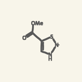 COC(=O)C1=CN[N]S1